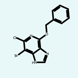 Clc1nc(OCc2ccccc2)c2nc[nH]c2c1Br